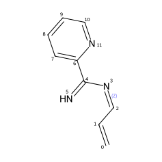 C=C/C=N\C(=N)c1ccccn1